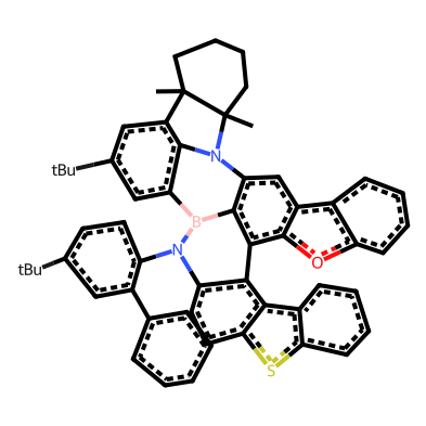 CC(C)(C)c1ccc(N2B3c4cc(C(C)(C)C)cc5c4N(c4cc6c(oc7ccccc76)c(c43)-c3c2ccc2sc4ccccc4c32)C2(C)CCCCC52C)c(-c2ccccc2)c1